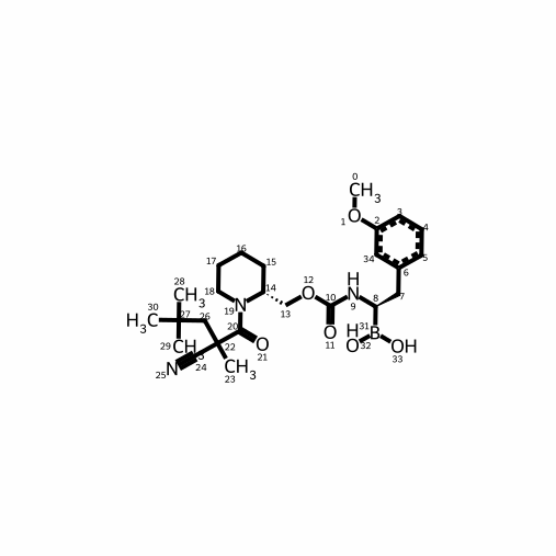 COc1cccc(C[C@H](NC(=O)OC[C@H]2CCCCN2C(=O)C(C)(C#N)CC(C)(C)C)B(O)O)c1